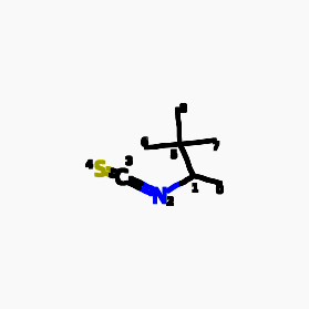 CC(N=C=S)C(C)(C)C